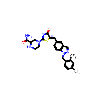 NC(=O)C1CN(C2=NC(=O)/C(=C/c3ccc4c(cnn4Cc4ccc(C(F)(F)F)cc4C(F)(F)F)c3)S2)CCN1